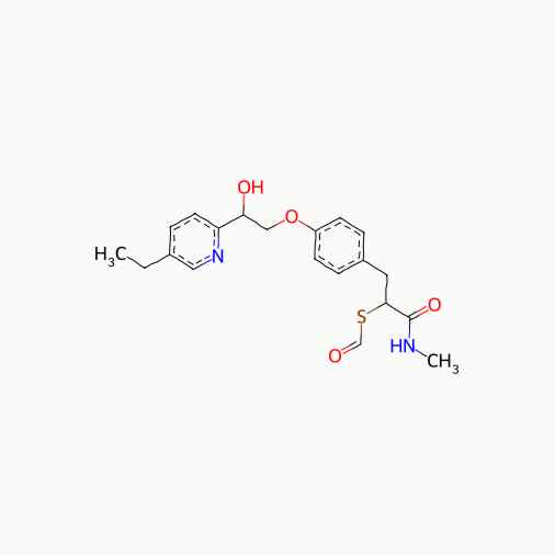 CCc1ccc(C(O)COc2ccc(CC(SC=O)C(=O)NC)cc2)nc1